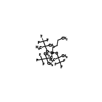 CCC[CH2][Sn]([O]C(C)(C)C(F)(F)F)([O]C(C)(C)C(F)(F)F)[O]C(C)(C)C(F)(F)F